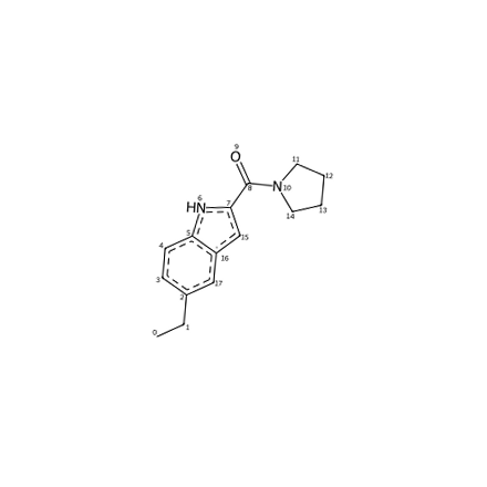 CCc1ccc2[nH]c(C(=O)N3CCCC3)cc2c1